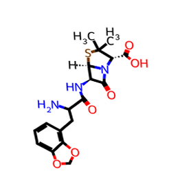 CC1(C)S[C@@H]2[C@H](NC(=O)C(N)Cc3cccc4c3OCO4)C(=O)N2[C@H]1C(=O)O